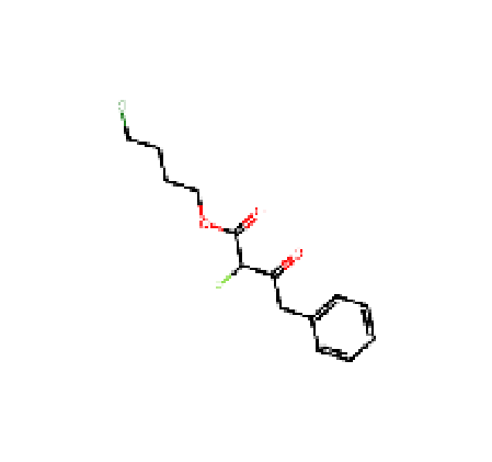 O=C(Cc1ccccc1)C(F)C(=O)OCCCCCl